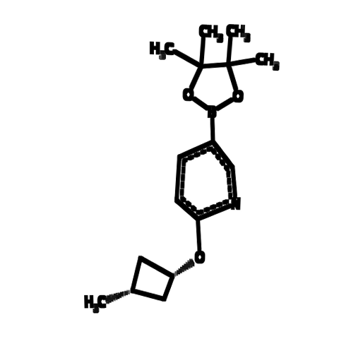 CC1(C)OB(c2ccc(O[C@H]3C[C@@H](C)C3)nc2)OC1(C)C